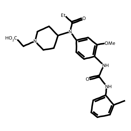 CCC(=O)N(c1ccc(NC(=O)Nc2ccccc2C)c(OC)c1)C1CCN(CC(=O)O)CC1